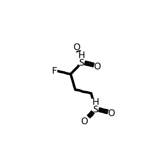 O=[SH](=O)CCC(F)[SH](=O)=O